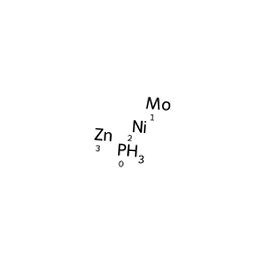 P.[Mo].[Ni].[Zn]